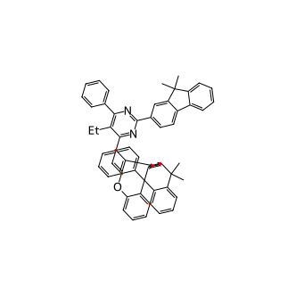 CCc1c(-c2ccccc2)nc(-c2ccc3c(c2)C(C)(C)c2ccccc2-3)nc1-c1ccccc1-c1cccc2c1C1(c3ccccc3Oc3ccccc31)c1ccccc1C2(C)C